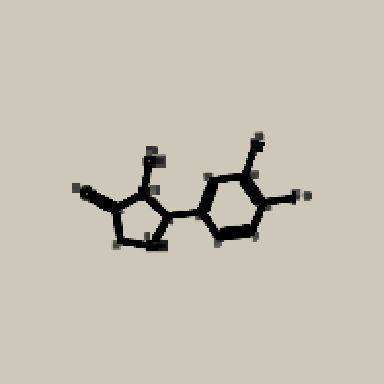 O=C1CNC(c2ccc(F)c(Br)c2)N1O